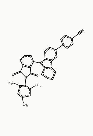 Cc1cc(C)c(N2C(=O)c3cccc(-n4c5ccccc5c5cc(-c6ccc(C#N)cc6)ccc54)c3C2=O)c(C)c1